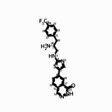 N[C@@H](CNc1ncc(-c2ccc3cn[nH]c(=O)c3c2)s1)Cc1ccc(C(F)(F)F)cc1